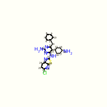 Nc1nc(Cc2ccccc2)c([C@H]2CC[C@H](N)CC2)c(Nc2nc3ccc(Cl)nc3s2)n1